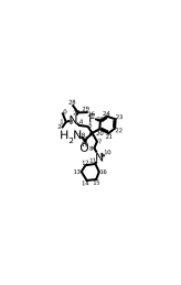 CC(C)N(CCC(CCN(C)C1CCCCC1)(C(N)=O)c1ccccc1F)C(C)C